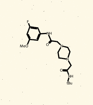 COc1cc(F)cc(NC(=O)CN2CCN(CC(=O)NC(C)(C)C)CC2)c1